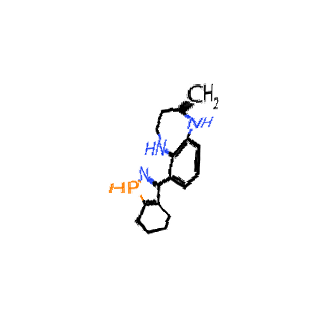 C=C1CCNc2c(cccc2-c2n[pH]c3c2CCCC3)N1